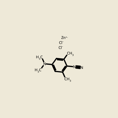 Cc1cc(N(C)C)cc(C)c1[N+]#N.[Cl-].[Cl-].[Zn+]